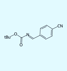 CC(C)(C)OC(=O)/N=C/c1ccc(C#N)cc1